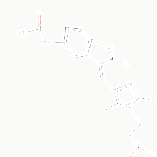 Cc1[nH]c(C=C2C(=O)Nc3ccc(NC(N)=O)cc32)c(C)c1CCC(=O)O